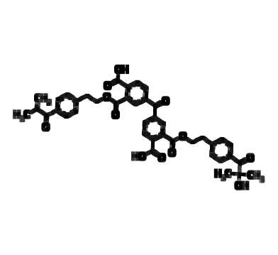 C=C(C)C(=O)c1ccc(CCOC(=O)c2cc(C(=O)c3ccc(C(=O)O)c(C(=O)OCCc4ccc(C(=O)C(C)(C)O)cc4)c3)ccc2C(=O)O)cc1